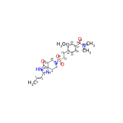 C/C=C/C1=NC2(CCN(S(=O)(=O)CCc3ccc(C(=O)N(C)C)cc3C)CC2)C(=O)N1